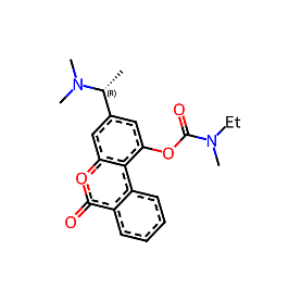 CCN(C)C(=O)Oc1cc([C@@H](C)N(C)C)cc2oc(=O)c3ccccc3c12